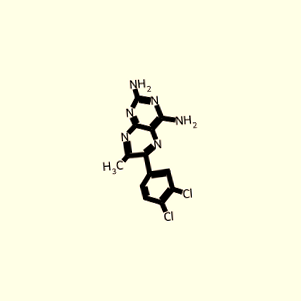 Cc1nc2nc(N)nc(N)c2nc1-c1ccc(Cl)c(Cl)c1